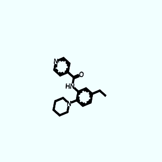 CCc1ccc(N2CCCCC2)c(NC(=O)c2ccncc2)c1